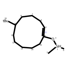 C[SiH](C)O/C1=C/CCCC(C(C)(C)C)CCCCC1